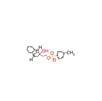 Cc1ccc(S(=O)(=O)OCC[C@]2(O)C[C@H]3CC[C@@H]2c2ccccc23)cc1